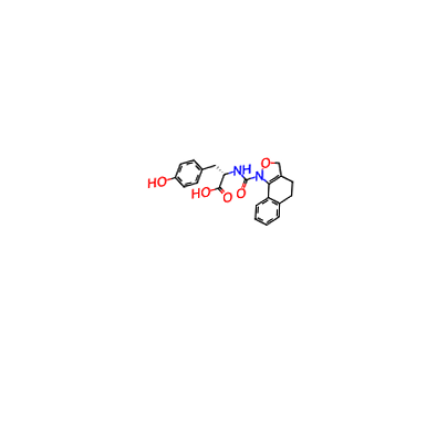 O=C(O)[C@H](Cc1ccc(O)cc1)NC(=O)N1OCC2=C1c1ccccc1CC2